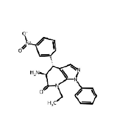 CCN1C(=O)[C@@H](N)[C@H](c2cccc([N+](=O)[O-])c2)c2cnn(-c3ccccc3)c21